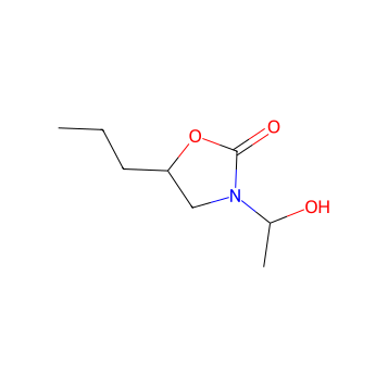 CCCC1CN(C(C)O)C(=O)O1